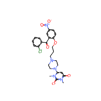 Cn1c(N2CCN(CCCOc3ccc([N+](=O)[O-])cc3C(=O)c3ccccc3Cl)CC2)cc(=O)n(C)c1=O